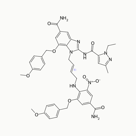 CCn1nc(C)cc1C(=O)Nc1nc2cc(C(N)=O)cc(OCc3ccc(OC)cc3)c2n1C/C=C/CNc1c(OCc2ccc(OC)cc2)cc(C(N)=O)cc1[N+](=O)[O-]